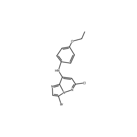 CCOc1ccc(Nc2cc(Cl)nn3c(Br)cnc23)cc1